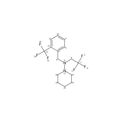 FC(F)(F)CN(Cc1ccccc1C(F)(F)F)N1CCCCC1